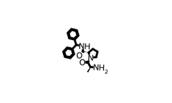 C[C@H](N)C(=O)N1CCC[C@H]1C(=O)NC(c1ccccc1)c1ccccc1